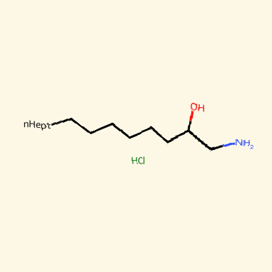 CCCCCCCCCCCCCC(O)CN.Cl